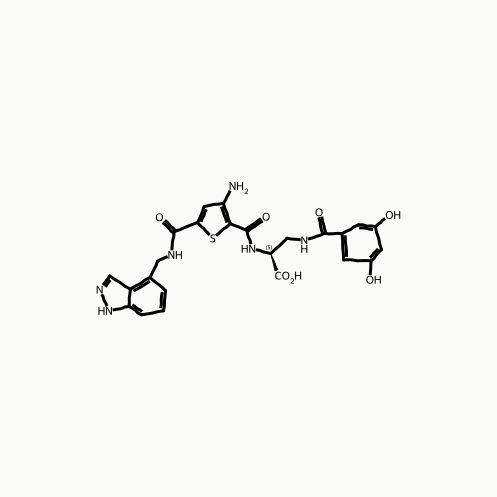 Nc1cc(C(=O)NCc2cccc3[nH]ncc23)sc1C(=O)N[C@@H](CNC(=O)c1cc(O)cc(O)c1)C(=O)O